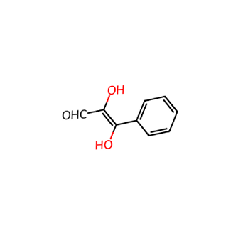 O=CC(O)=C(O)c1ccccc1